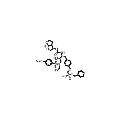 COc1ccc(S(=O)(=O)N(CC(C)C)C[C@@H](O)[C@H](Cc2ccc(OCP(=O)(O)OCc3ccccc3)cc2)NC(=O)O[C@H]2CO[C@H]3OCCC32)cc1